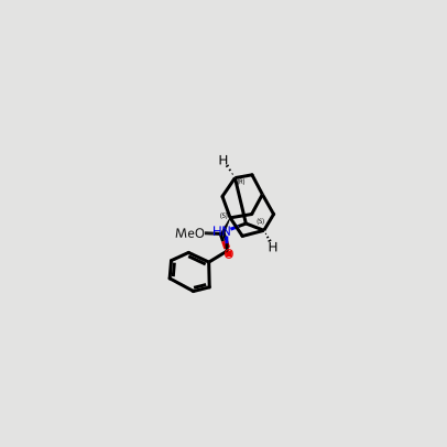 COC(=O)[C@]12CC3C[C@H](C1)C(NCc1ccccc1)[C@@H](C3)C2